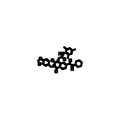 Cc1cc(C)c(NC(=O)Cn2c(=O)n(Cc3ccc4c(c3)OCO4)c(=O)c3ccc(C(=O)NC4CCCCC4)cc32)c(C)c1